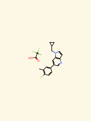 Cc1cc(-c2cnc3ccn(CC4CC4)c3c2)ccc1F.O=C(O)C(F)(F)F